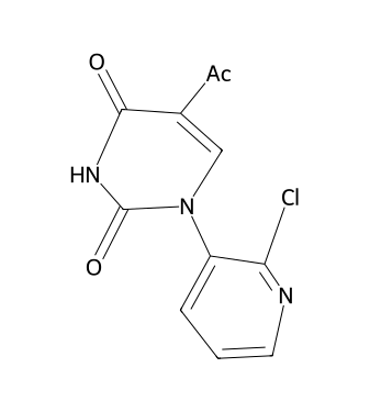 CC(=O)c1cn(-c2cccnc2Cl)c(=O)[nH]c1=O